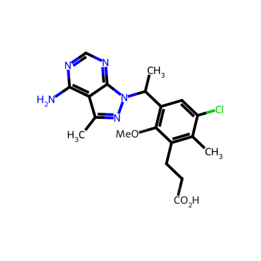 COc1c(C(C)n2nc(C)c3c(N)ncnc32)cc(Cl)c(C)c1CCC(=O)O